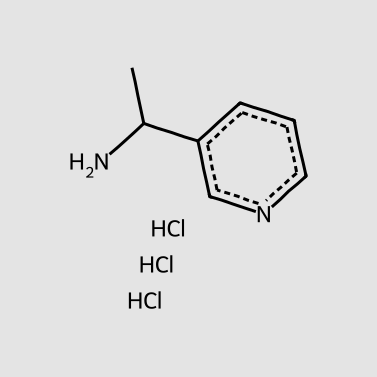 CC(N)c1cccnc1.Cl.Cl.Cl